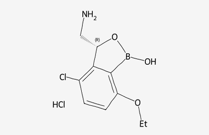 CCOc1ccc(Cl)c2c1B(O)O[C@H]2CN.Cl